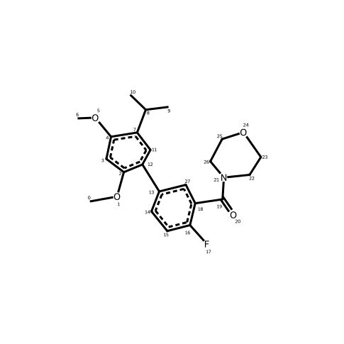 COc1cc(OC)c(C(C)C)cc1-c1ccc(F)c(C(=O)N2CCOCC2)c1